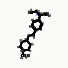 N/C(=N/O)c1ccc(OCC2CCN(C(=O)O)CC2)cc1